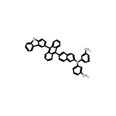 Cc1cccc(N(c2cccc(C)c2)c2ccc3cc(-c4c5ccccc5c(-c5ccc6oc7ccccc7c6c5)c5ccccc45)ccc3c2)c1